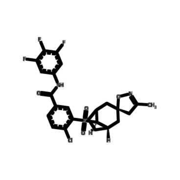 CC1=NO[C@@]2(C1)CC1CC[C@@H](C2)[C@H]1S(=O)(=O)c1cc(C(=O)Nc2cc(F)c(F)c(F)c2)ccc1Cl